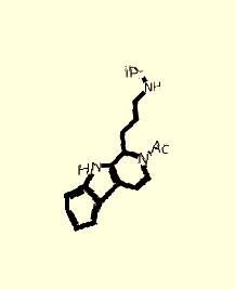 CC(=O)N1CCc2c([nH]c3ccccc23)C1CCCNC(C)C